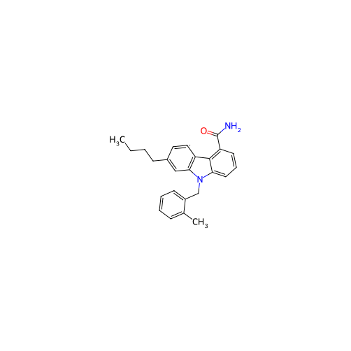 CCCCc1c[c]c2c3c(C(N)=O)cccc3n(Cc3ccccc3C)c2c1